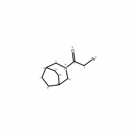 O=C(CBr)N1CC2CCC(CC2)C1